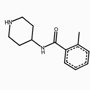 Cc1ccccc1C(=O)NC1CCNCC1